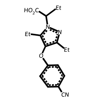 CCc1nn(C(CC)C(=O)O)c(CC)c1Oc1ccc(C#N)cc1